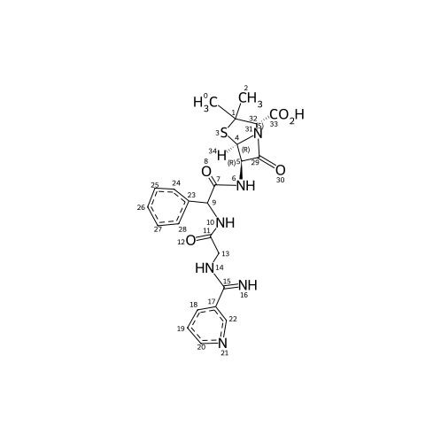 CC1(C)S[C@@H]2[C@H](NC(=O)C(NC(=O)CNC(=N)c3cccnc3)c3ccccc3)C(=O)N2[C@H]1C(=O)O